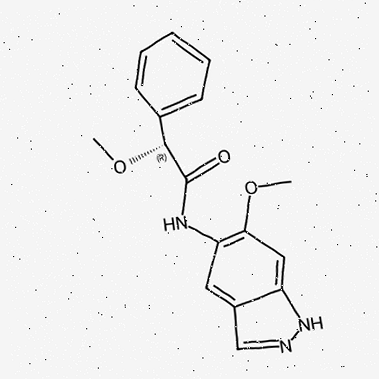 COc1cc2[nH]ncc2cc1NC(=O)[C@H](OC)c1ccccc1